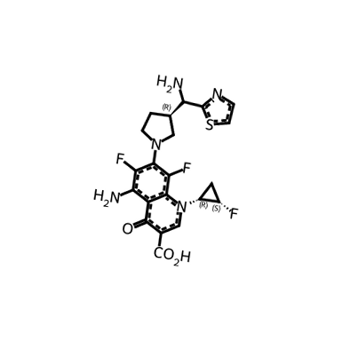 Nc1c(F)c(N2CC[C@@H](C(N)c3nccs3)C2)c(F)c2c1c(=O)c(C(=O)O)cn2[C@@H]1C[C@@H]1F